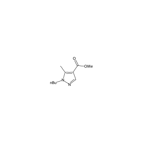 CCCCn1ncc(C(=O)OC)c1C